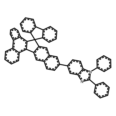 c1ccc(-c2nc3cc(-c4ccc5cc6c(cc5c4)C4(c5ccccc5-c5ccccc54)c4c-6c5ccccc5c5ccccc45)ccc3n2-c2ccccc2)cc1